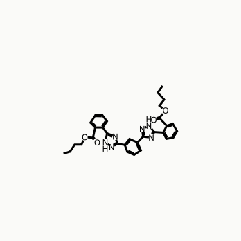 CCCCOC(=O)c1ccccc1-c1nc(-c2cccc(-c3n[nH]c(-c4ccccc4C(=O)OCCCC)n3)c2)n[nH]1